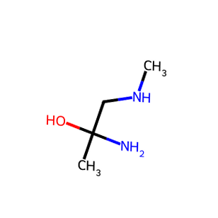 CNCC(C)(N)O